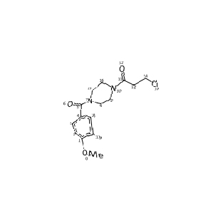 COc1ccc(C(=O)N2CCN(C(=O)CCCl)CC2)cc1